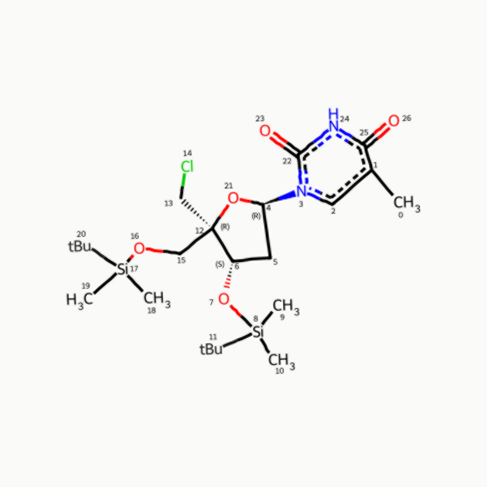 Cc1cn([C@H]2C[C@H](O[Si](C)(C)C(C)(C)C)[C@@](CCl)(CO[Si](C)(C)C(C)(C)C)O2)c(=O)[nH]c1=O